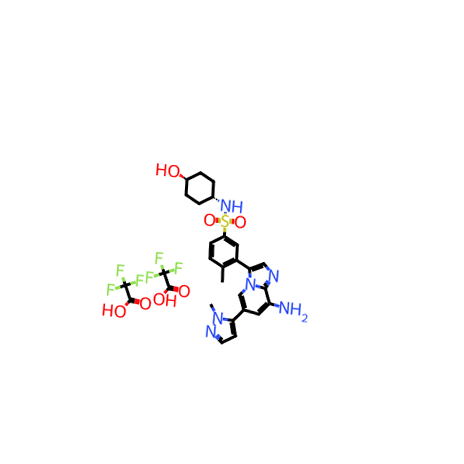 Cc1ccc(S(=O)(=O)N[C@H]2CC[C@H](O)CC2)cc1-c1cnc2c(N)cc(-c3ccnn3C)cn12.O=C(O)C(F)(F)F.O=C(O)C(F)(F)F